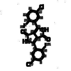 O=C1NC(c2cc(Cl)ccc2F)=C2C(=O)NC(c3cc(Cl)ccc3F)=C12